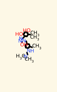 CCc1cc(Cn2c(O)nnc2-c2cc(C(C)C)c(O)cc2O)ccc1NCCN(C)C